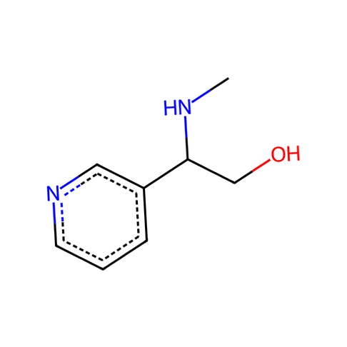 CNC(CO)c1cccnc1